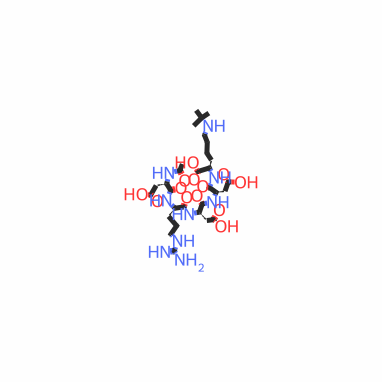 CC(=O)N[C@@H](CC(=O)O)C(=O)N[C@@H](CCCNC(=N)N)C(=O)N[C@@H](CC(=O)O)C(=O)N[C@@H](CC(=O)O)C(=O)N[C@@H](CCCCNC(C)(C)C)C(=O)O